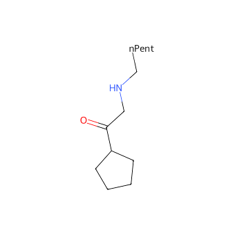 CCCCCCNCC(=O)C1CCCC1